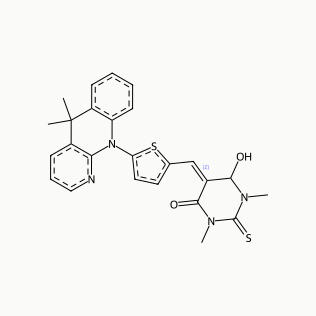 CN1C(=O)/C(=C\c2ccc(N3c4ccccc4C(C)(C)c4cccnc43)s2)C(O)N(C)C1=S